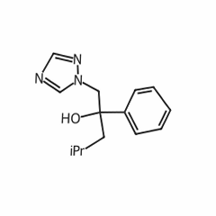 CC(C)CC(O)(Cn1cncn1)c1ccccc1